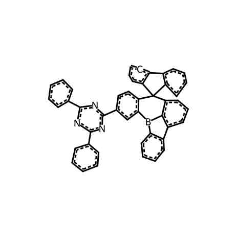 c1ccc(-c2nc(-c3ccccc3)nc(-c3ccc4c(c3)B3c5ccccc5-c5cccc(c53)C43c4ccccc4-c4ccccc43)n2)cc1